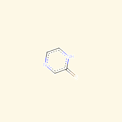 S=c1[c]ncc[nH]1